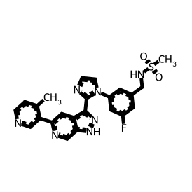 Cc1ccncc1-c1cc2c(-c3nccn3-c3cc(F)cc(CNS(C)(=O)=O)c3)n[nH]c2cn1